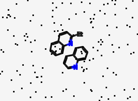 CCc1ccc2ccccc2n1.c1ccc2ncccc2c1